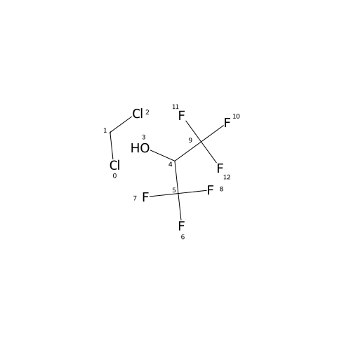 ClCCl.OC(C(F)(F)F)C(F)(F)F